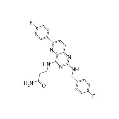 NC(=O)CCNc1nc(NCc2ccc(F)cc2)nc2ccc(-c3ccc(F)cc3)nc12